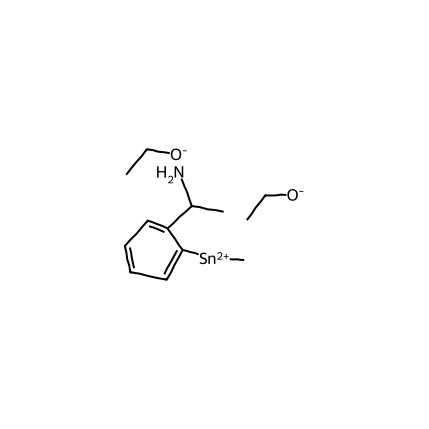 CC[O-].CC[O-].[CH3][Sn+2][c]1ccccc1C(C)N